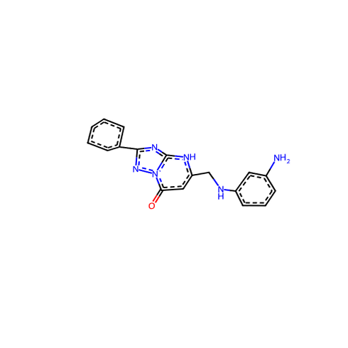 Nc1cccc(NCc2cc(=O)n3nc(-c4ccccc4)nc3[nH]2)c1